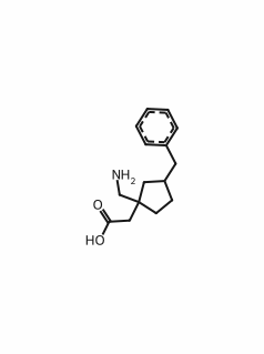 NCC1(CC(=O)O)CCC(Cc2ccccc2)C1